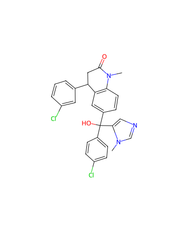 CN1C(=O)CC(c2cccc(Cl)c2)c2cc(C(O)(c3ccc(Cl)cc3)c3cncn3C)ccc21